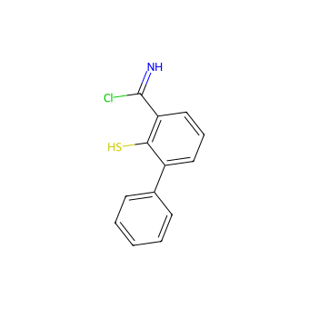 N=C(Cl)c1cccc(-c2ccccc2)c1S